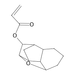 C=CC(=O)OC1C2CC3C1OC1CCCC2C13